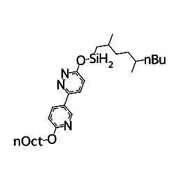 CCCCCCCCOc1ccc(-c2ccc(O[SiH2]CC(C)CCC(C)CCCC)nn2)cn1